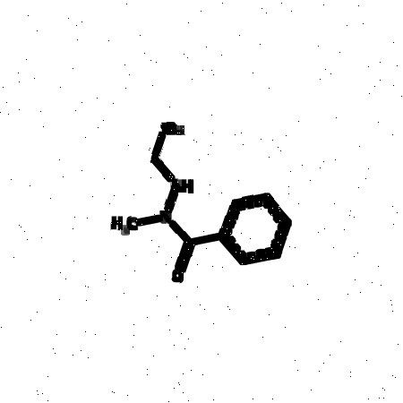 CN(NCC(C)(C)C)C(=O)c1ccccc1